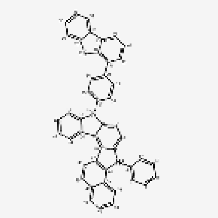 c1ccc(-n2c3ccc4c(c5ccccc5n4-c4ccc(-c5cccc6c5sc5ccccc56)cc4)c3c3ccc4ccccc4c32)cc1